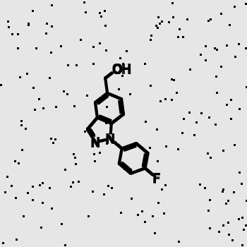 OCc1ccc2c(cnn2-c2ccc(F)cc2)c1